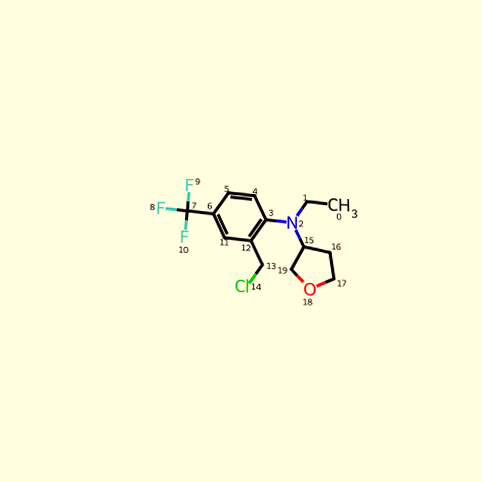 CCN(c1ccc(C(F)(F)F)cc1CCl)C1CCOC1